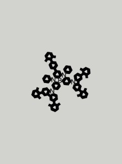 Cc1cccc(C)c1-c1ccc(-c2cc3c4c(c2)N(c2ccccc2)c2cc(-n5c6ccc(-c7c(C)cccc7C)cc6c6cc(-c7c(C)cccc7C)ccc65)ccc2B4c2ccc(-n4c5ccc(-c6c(C)cccc6C)cc5c5cc(-c6c(C)cccc6C)ccc54)cc2N3c2ccccc2)cc1